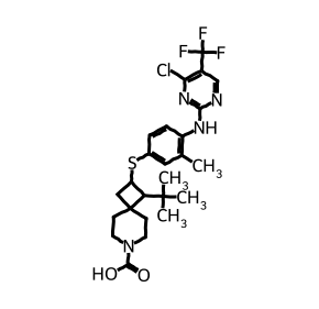 Cc1cc(SC2CC3(CCN(C(=O)O)CC3)C2C(C)(C)C)ccc1Nc1ncc(C(F)(F)F)c(Cl)n1